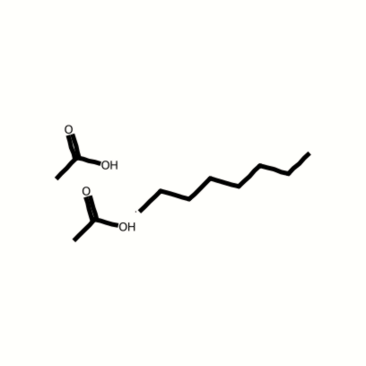 CC(=O)O.CC(=O)O.[CH2]CCCCCCC